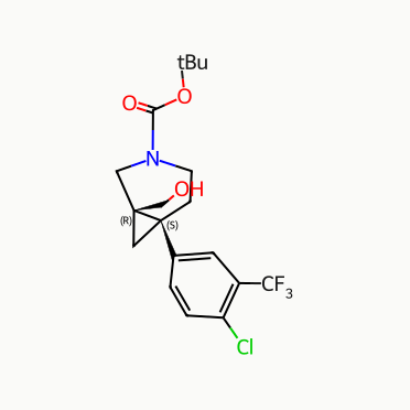 CC(C)(C)OC(=O)N1CC[C@]2(c3ccc(Cl)c(C(F)(F)F)c3)C[C@]2(CO)C1